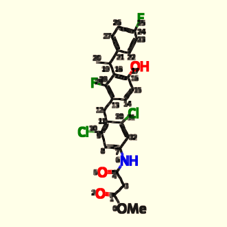 COC(=O)CC(=O)Nc1cc(Cl)c(Cc2ccc(O)c(C(C)c3ccc(F)cc3)c2F)c(Cl)c1